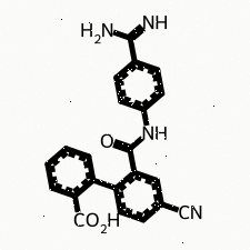 N#Cc1ccc(-c2ccccc2C(=O)O)c(C(=O)Nc2ccc(C(=N)N)cc2)c1